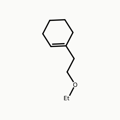 CCOCCC1=CCCCC1